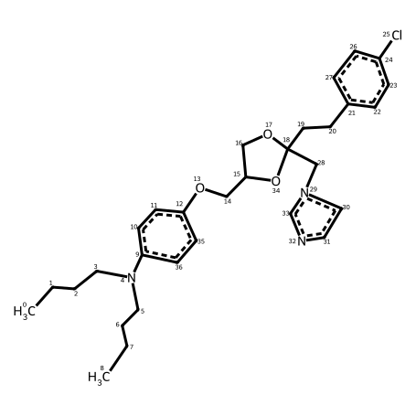 CCCCN(CCCC)c1ccc(OCC2COC(CCc3ccc(Cl)cc3)(Cn3ccnc3)O2)cc1